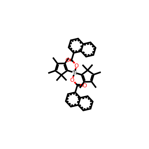 CC1=C(C)C(C)(C)[C]([Ti]([O]C(=O)c2cccc3ccccc23)([O]C(=O)c2cccc3ccccc23)[C]2=C(C)C(C)=C(C)C2(C)C)=C1C